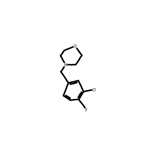 Fc1ccc(CN2CCOCC2)cc1Cl